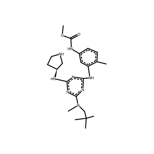 COC(=O)Nc1ccc(C)c(Nc2nc(N[C@H]3CCNC3)nc(N(C)CC(C)(C)C)n2)c1